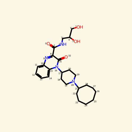 O=C(NCC(O)CO)c1nc2ccccc2n(C2CCN(C3CCCCCCC3)CC2)c1=O